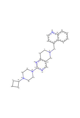 c1ccc2c(CN3CCc4nc(N5CCN(C6CCC6)CC5)ncc4C3)ccnc2c1